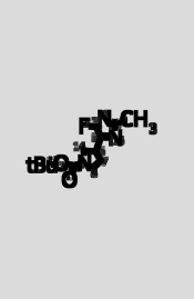 C[C@@H]1N=C(F)C(C2CCN(C(=O)OC(C)(C)C)C2)=N1